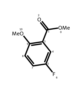 COC(=O)c1cc(F)ccc1OC